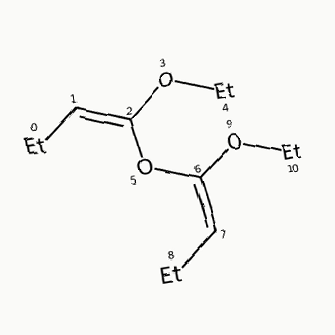 CC/C=C(/OCC)O/C(=C\CC)OCC